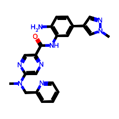 CN(Cc1ccccn1)c1cnc(C(=O)Nc2cc(-c3cnn(C)c3)ccc2N)cn1